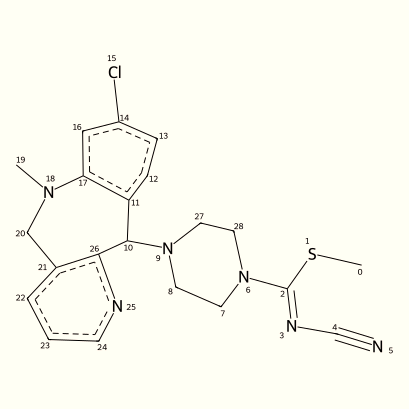 CSC(=NC#N)N1CCN(C2c3ccc(Cl)cc3N(C)Cc3cccnc32)CC1